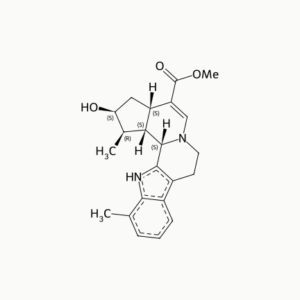 COC(=O)C1=CN2CCc3c([nH]c4c(C)cccc34)[C@@H]2[C@@H]2[C@@H](C)[C@@H](O)C[C@H]12